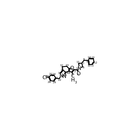 Cc1c(C(=O)N2CC(Cc3ccccc3)C2)oc2c1-c1nn(Cc3ccc(Cl)cc3)cc1CC2